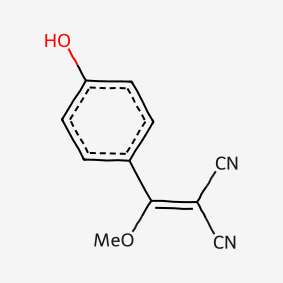 COC(=C(C#N)C#N)c1ccc(O)cc1